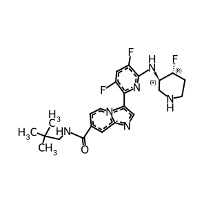 CC(C)(C)CNC(=O)c1ccn2c(-c3nc(N[C@@H]4CNCC[C@H]4F)c(F)cc3F)cnc2c1